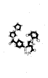 NC(=O)c1nn(-c2c(Cl)cccc2Cl)cc1Nc1ccc(C(=O)N2CC[C@@H](N3CCCC3)C2)cc1